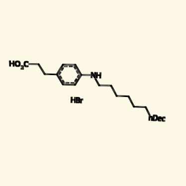 Br.CCCCCCCCCCCCCCCCNc1ccc(CCC(=O)O)cc1